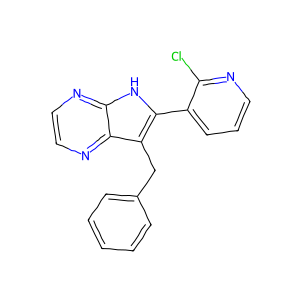 Clc1ncccc1-c1[nH]c2nccnc2c1Cc1ccccc1